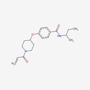 C=CC(=O)N1CCC(Oc2ccc(C(=O)NC(C)CC)cc2)CC1